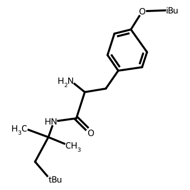 CCC(C)Oc1ccc(CC(N)C(=O)NC(C)(C)CC(C)(C)C)cc1